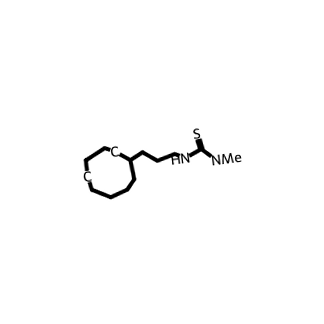 CNC(=S)NCCCC1CCCCCCCC1